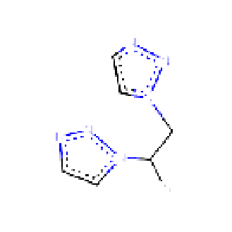 CC(=O)C(Cn1ccnn1)n1ccnn1